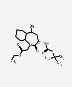 CCOC(=O)CN1C(=O)[C@@H](NC(=O)OC(C)(C)C)CC(O)C2CCCCC21